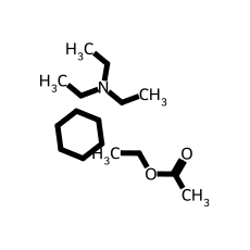 C1CCCCC1.CCN(CC)CC.CCOC(C)=O